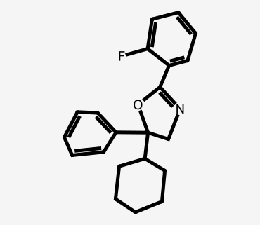 Fc1ccccc1C1=NCC(c2ccccc2)(C2CCCCC2)O1